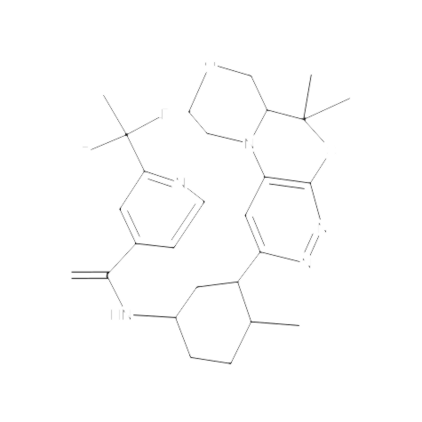 C=C(NC1CCC(C)C(c2cc3c(nn2)OC(C)(C)C2COCCN32)C1)c1ccnc(C(C)(F)F)c1